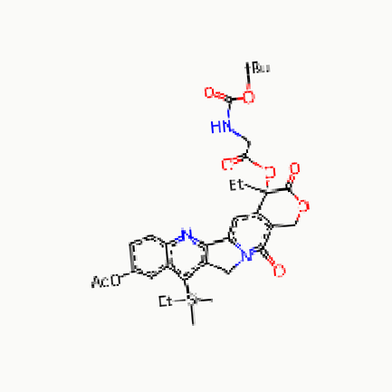 CCC1(OC(=O)CNC(=O)OC(C)(C)C)C(=O)OCc2c1cc1n(c2=O)Cc2c-1nc1ccc(OC(C)=O)cc1c2[Si](C)(C)CC